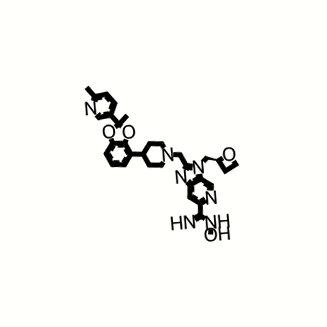 Cc1ccc(C2(C)Oc3cccc(C4CCN(Cc5nc6cc(C(=N)NO)ncc6n5C[C@@H]5CCO5)CC4)c3O2)cn1